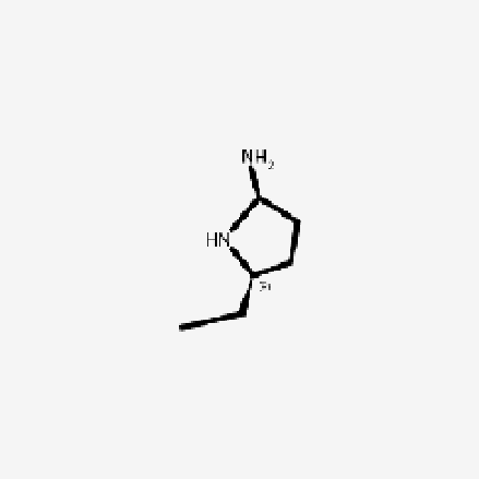 CC[C@@H]1CCC(N)N1